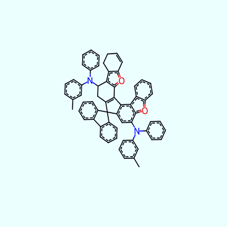 Cc1cccc(N(c2ccccc2)c2cc3c(c4c2oc2ccccc24)C2=C(CC(N(c4ccccc4)c4cccc(C)c4)c4c2oc2c4CCC=C2)C32c3ccccc3-c3ccccc32)c1